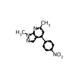 Cc1cc(-c2ccc([N+](=O)[O-])cc2)c2cnn(C)c2n1